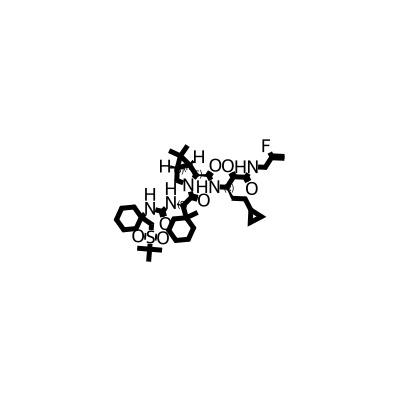 C=C(F)CNC(=O)C(=O)[C@@H](CCC1CC1)NC(=O)[C@@H]1[C@@H]2[C@H](CN1C(=O)[C@@H](NC(=O)NC1(CS(=O)(=O)C(C)(C)C)CCCCC1)C1(C)CCCCC1)C2(C)C